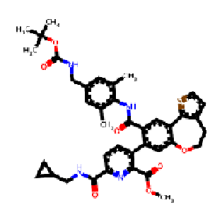 COC(=O)c1nc(C(=O)NCC2CC2)ccc1-c1cc2c(cc1C(=O)Nc1c(C)cc(CNC(=O)OC(C)(C)C)cc1C)-c1sccc1CCO2